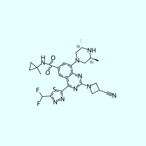 C[C@H]1CN(c2cc(S(=O)(=O)NC3(C)CC3)cc3c(-c4nnc(C(F)F)s4)nc(N4CC(C#N)C4)nc23)C[C@H](C)N1